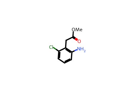 COC(=O)Cc1c(N)cccc1Cl